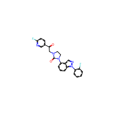 O=C(CN1CCN(c2cccc3c2cnn3-c2ccccc2F)C1=O)c1ccc(F)nc1